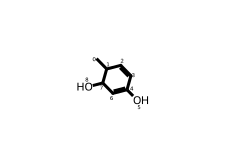 CC1C=CC(O)=CC1O